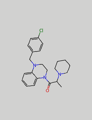 CC(C(=O)N1CCN(Cc2ccc(Cl)cc2)c2ccccc21)N1CCCCC1